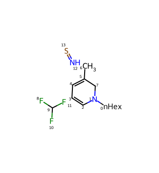 CCCCCCN1C=CC=C(C)C1.FC(F)F.N=S